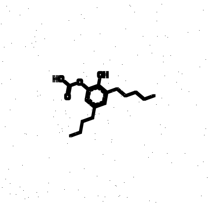 CCCCCc1cc(CCCC)cc(OC(=O)O)c1O